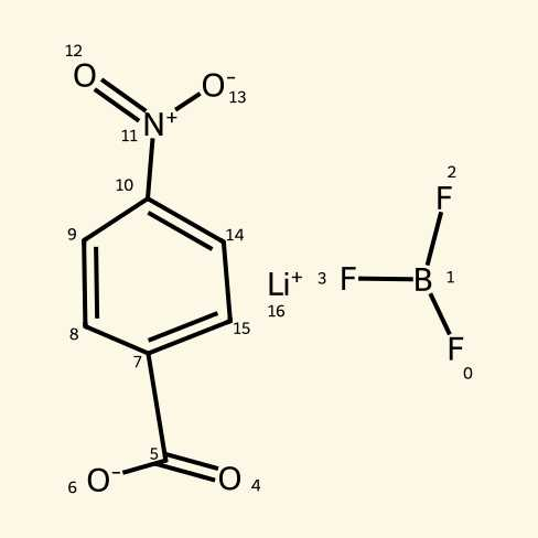 FB(F)F.O=C([O-])c1ccc([N+](=O)[O-])cc1.[Li+]